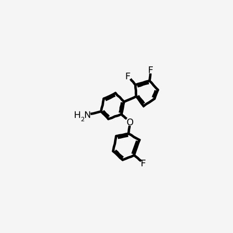 Nc1ccc(-c2cccc(F)c2F)c(Oc2cccc(F)c2)c1